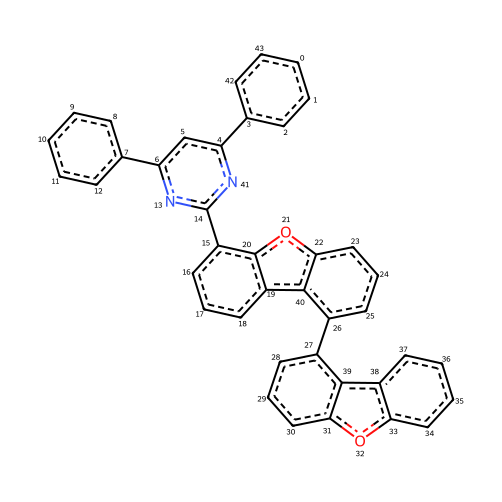 c1ccc(-c2cc(-c3ccccc3)nc(-c3cccc4c3oc3cccc(-c5cccc6oc7ccccc7c56)c34)n2)cc1